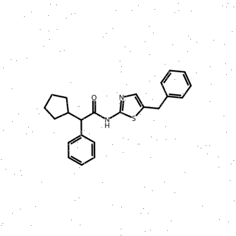 O=C(Nc1ncc(Cc2ccccc2)s1)C(c1ccccc1)C1CCCC1